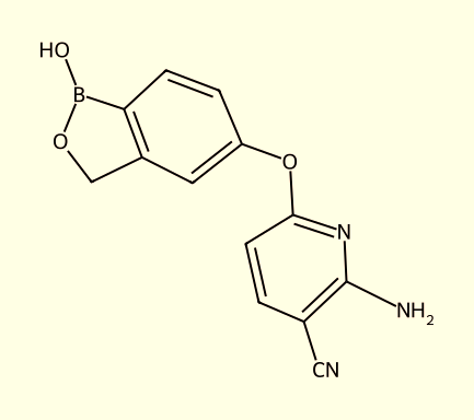 N#Cc1ccc(Oc2ccc3c(c2)COB3O)nc1N